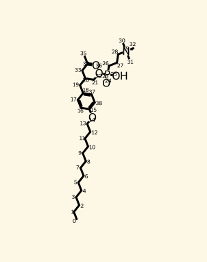 CCCCCCCCCCCCCCOc1ccc(CC(COP(=O)(O)CCC[N+](C)(C)C)CC(C)=O)cc1